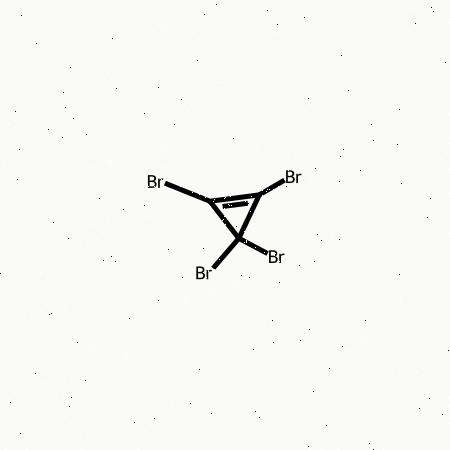 BrC1=C(Br)C1(Br)Br